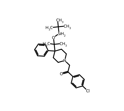 CC(C)(C)[SiH2]OC(C)(C)C1(c2ccccc2)CCN(CC(=O)c2ccc(Cl)cc2)CC1